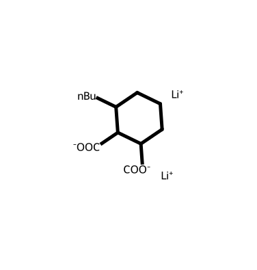 CCCCC1CCCC(C(=O)[O-])C1C(=O)[O-].[Li+].[Li+]